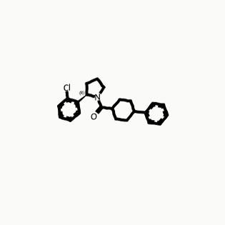 O=C(C1CCC(c2ccccc2)CC1)N1CCC[C@@H]1c1ccccc1Cl